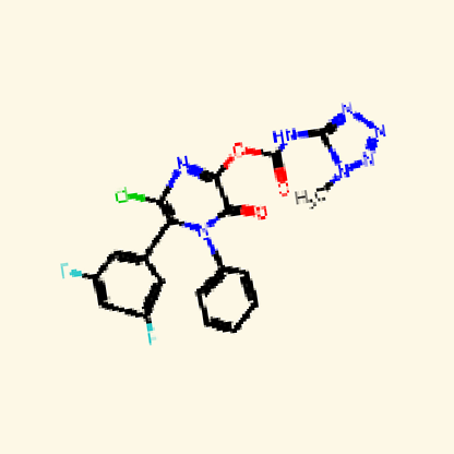 Cn1nnnc1NC(=O)Oc1nc(Cl)c(-c2cc(F)cc(F)c2)n(-c2ccccc2)c1=O